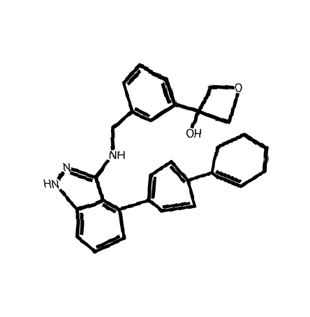 OC1(c2cccc(CNc3n[nH]c4cccc(-c5ccc(C6=CCCCC6)cc5)c34)c2)COC1